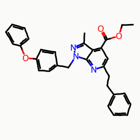 CCOC(=O)c1cc(CCc2ccccc2)nc2c1c(C)nn2Cc1ccc(Oc2ccccc2)cc1